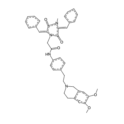 COc1cc2c(cc1OC)CN(CCc1ccc(NC(=O)Cn3c(=O)c(=Cc4ccccc4)n(C)c(=O)c3=Cc3ccccc3)cc1)CC2